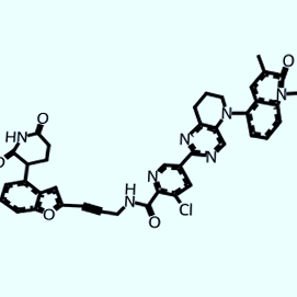 Cc1cc2c(N3CCCc4nc(-c5cnc(C(=O)NCC#Cc6cc7c(C8CCC(=O)NC8=O)cccc7o6)c(Cl)c5)ncc43)cccc2n(C)c1=O